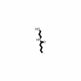 [CH2]CCCC(=O)NCCCO